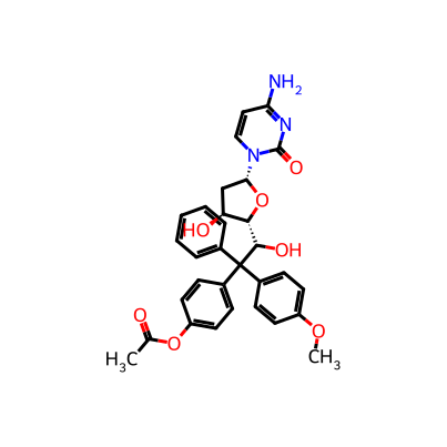 COc1ccc(C(c2ccccc2)(c2ccc(OC(C)=O)cc2)C(O)[C@H]2O[C@@H](n3ccc(N)nc3=O)C[C@@H]2O)cc1